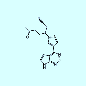 C[S+]([O-])CCC(CC#N)n1cc(-c2ncnc3[nH]ccc23)cn1